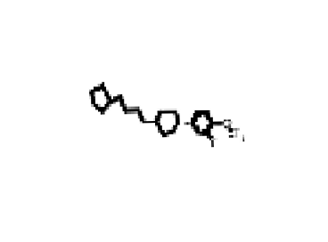 Fc1cc([C@H]2CC[C@H](CCCCC3CCCC3)CC2)ccc1OC(F)(F)F